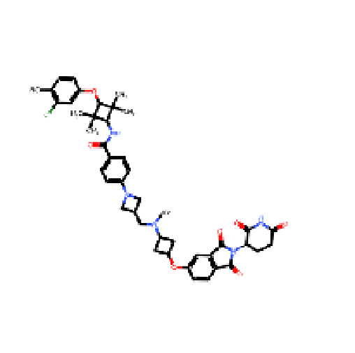 CC(C)N(CC1CN(c2ccc(C(=O)NC3C(C)(C)C(Oc4ccc(C#N)c(Cl)c4)C3(C)C)cc2)C1)C1CC(Oc2ccc3c(c2)C(=O)N([C@@H]2CCC(=O)NC2=O)C3=O)C1